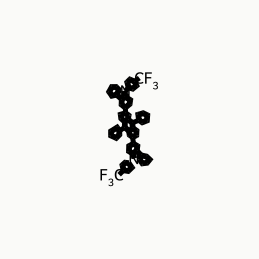 FC(F)(F)c1ccc(-n2c3ccccc3c3cc(-c4ccc5c(-c6ccccc6)c6cc(-c7ccc8c(c7)c7ccccc7n8-c7ccc(C(F)(F)F)cc7)ccc6c(-c6ccccc6)c5c4)ccc32)cc1